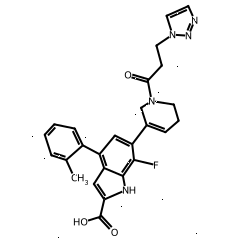 Cc1ccccc1-c1cc(C2=CCCN(C(=O)CCn3ccnn3)C2)c(F)c2[nH]c(C(=O)O)cc12